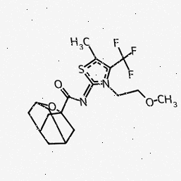 COCCn1c(C(F)(F)F)c(C)sc1=NC(=O)C12CC3CC(CC(C3)O1)C2